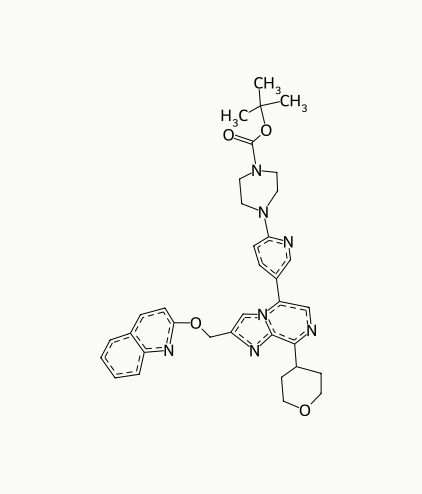 CC(C)(C)OC(=O)N1CCN(c2ccc(-c3cnc(C4CCOCC4)c4nc(COc5ccc6ccccc6n5)cn34)cn2)CC1